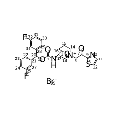 O=C(NC1C[N+]2(CC(=O)c3nccs3)CCC1CC2)OC(c1cccc(F)c1)c1cccc(F)c1.[Br-]